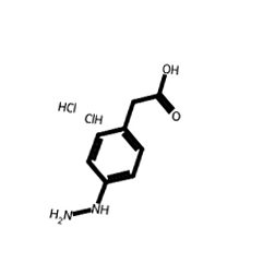 Cl.Cl.NNc1ccc(CC(=O)O)cc1